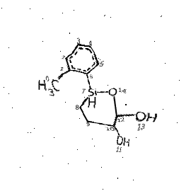 Cc1ccccc1[SiH]1CCC(O)C(O)O1